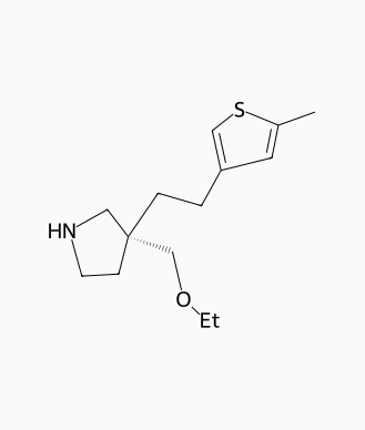 CCOC[C@]1(CCc2csc(C)c2)CCNC1